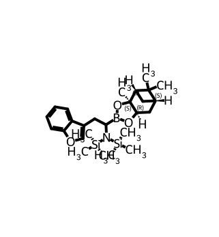 CC1(C)[C@@H]2C[C@H]3OB(C(Cc4coc5ccccc45)N([Si](C)(C)C)[Si](C)(C)C)O[C@@]3(C)[C@H]1C2